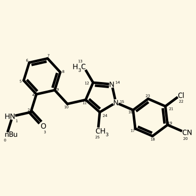 CCCCNC(=O)c1ccccc1Cc1c(C)nn(-c2ccc(C#N)c(Cl)c2)c1C